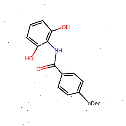 CCCCCCCCCCc1ccc(C(=O)Nc2c(O)cccc2O)cc1